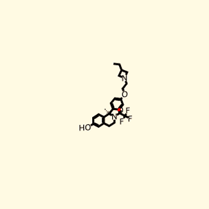 CCC1CN(CCOc2ccc([C@]3(C)c4ccc(O)cc4CCN3C(=O)C(F)(F)F)cc2)C1